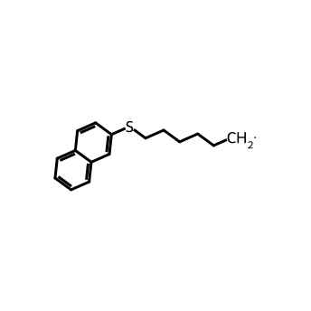 [CH2]CCCCCSc1ccc2ccccc2c1